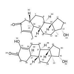 CC1=CC(=O)C[C@@H]2CC[C@H]3[C@@H]4CC[C@H](O)[C@@]4(C)CC[C@@H]3[C@@]12C.C[C@]12CC[C@H]3[C@@H](CCC4=C(O)C(=O)CC[C@@H]43)[C@@H]1CC[C@@H]2O